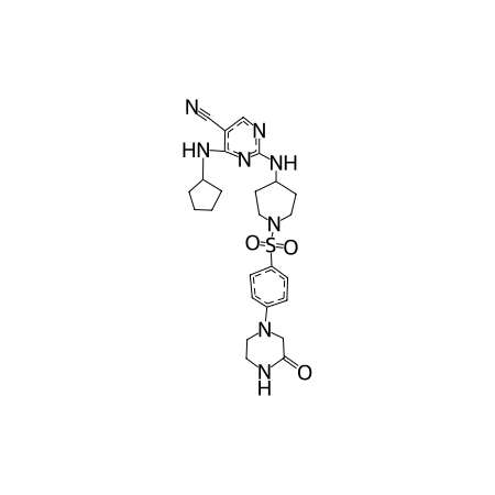 N#Cc1cnc(NC2CCN(S(=O)(=O)c3ccc(N4CCNC(=O)C4)cc3)CC2)nc1NC1CCCC1